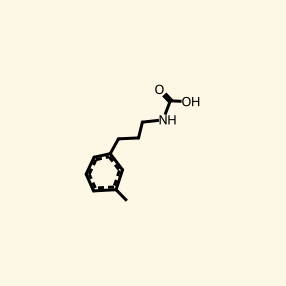 Cc1cccc(CCCNC(=O)O)c1